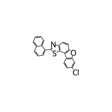 Clc1ccc2c(c1)oc1ccc3nc(-c4cccc5ccccc45)sc3c12